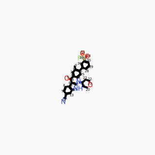 Cc1cc2c(=O)c3c4ccc(C#N)cc4[nH]c3n(C3CCOCC3)c2cc1-c1cccc(S(=O)(=O)F)c1